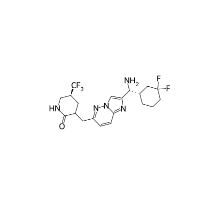 NC(c1cn2nc(CC3C[C@H](C(F)(F)F)CNC3=O)ccc2n1)[C@H]1CCCC(F)(F)C1